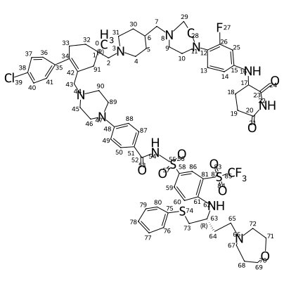 C[C@@]1(CN2CCC(CN3CCN(c4ccc(NC5CCC(=O)NC5=O)cc4F)CC3)CC2)CCC(c2ccc(Cl)cc2)=C(CN2CCN(c3ccc(C(=O)NS(=O)(=O)c4ccc(N[C@H](CCN5CCCOCC5)CSc5ccccc5)c(S(=O)(=O)C(F)(F)F)c4)cc3)CC2)C1